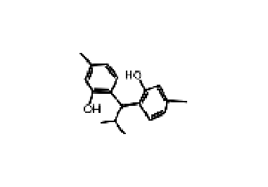 Cc1ccc(C(c2ccc(C)cc2O)C(C)C)c(O)c1